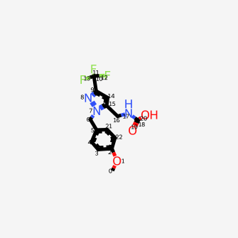 COc1ccc(Cn2nc(C(F)(F)F)cc2CNC(=O)O)cc1